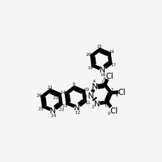 Clc1nnnc(Cl)c1Cl.c1ccncc1.c1ccncc1.c1ccncc1